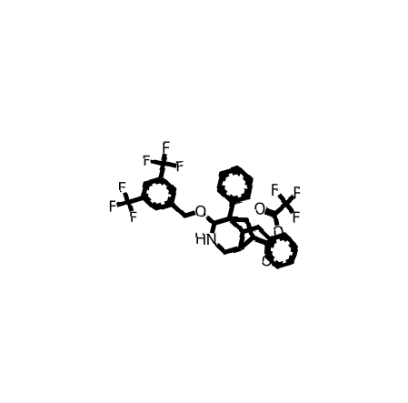 O=C(OC(=O)C(F)(F)F)C1CC2(c3ccccc3)C(OCc3cc(C(F)(F)F)cc(C(F)(F)F)c3)NCC1C2Cc1ccccc1